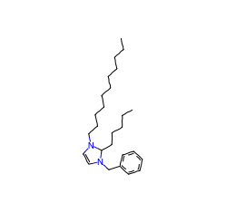 CCCCCCCCCCCN1C=CN(Cc2ccccc2)C1CCCCC